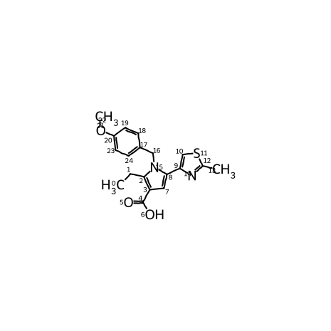 CCc1c(C(=O)O)cc(-c2csc(C)n2)n1Cc1ccc(OC)cc1